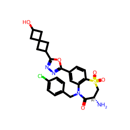 N[C@H]1CS(=O)(=O)c2ccc(-c3nnc(C4CC5(CC(O)C5)C4)o3)cc2N(Cc2ccc(Cl)cc2)C1=O